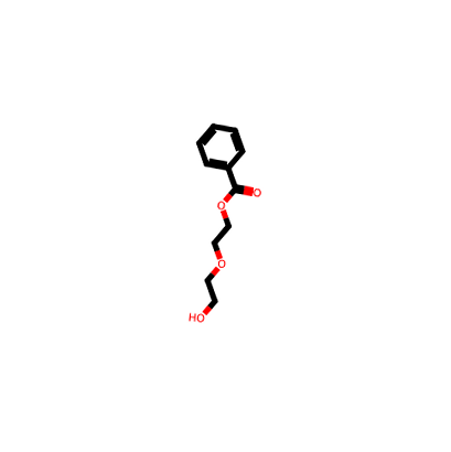 O=C(OCCOCCO)c1ccccc1